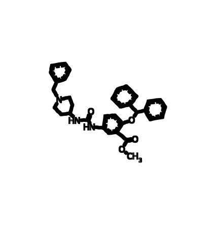 COC(=O)c1cc(NC(=O)NC2CCN(Cc3ccccc3)CC2)ccc1OC(c1ccccc1)c1ccccc1